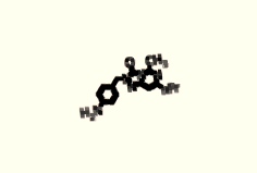 CCCc1cc2nn(Cc3ccc(N)cc3)c(=O)n2c(C)n1